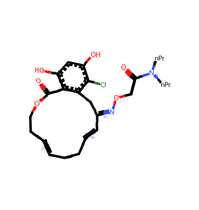 CCCN(CCC)C(=O)CO/N=C1/C=C/CC/C=C/CCOC(=O)c2c(O)cc(O)c(Cl)c2C1